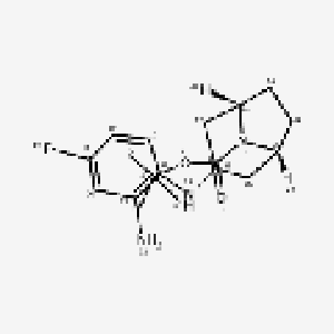 CC(C)(C)OC(=O)N1[C@@H]2CC[C@H]1C[C@@H](Nc1ccc(F)cc1N)C2